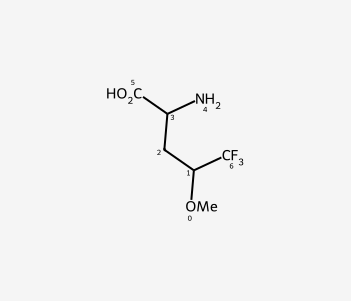 COC(CC(N)C(=O)O)C(F)(F)F